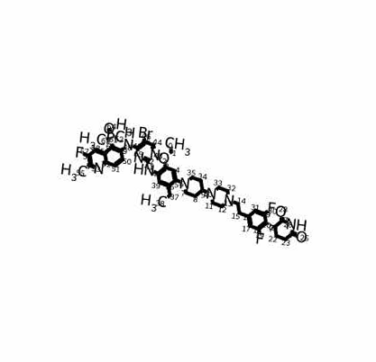 CCOc1cc(N2CCC(N3CCN(CCc4cc(F)c([C@H]5CCC(=O)NC5=O)c(F)c4)CC3)CC2)c(CC)cc1Nc1ncc(Br)c(Nc2ccc3nc(C)c(F)cc3c2P(C)(C)=O)n1